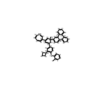 Cc1ccccc1Sc1ccc(C2=CC(C3=C=CC=CN=C3)=CC(C)(c3ccc4c5ccccc5c5ccccc5c4c3)C2)cc1C1CCC1